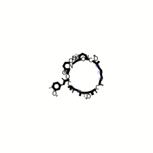 C=C1[C@H](C)C[C@H](C)/C=C/C=C/C=C(\C)[C@@H](OC)C[C@@H]2CC[C@@H](C)[C@@](O)(O2)C(=O)C(=O)N2CCCC[C@H]2C(=O)O[C@H]([C@H](C)C[C@@H]2CC[C@@H](C)[C@H](OC)C2)CC(C)(C)[C@H](C)/C=C(\C)[C@@H](C)[C@H]1OC